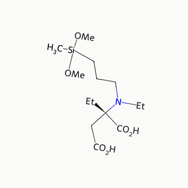 CCN(CCC[Si](C)(OC)OC)[C@@](CC)(CC(=O)O)C(=O)O